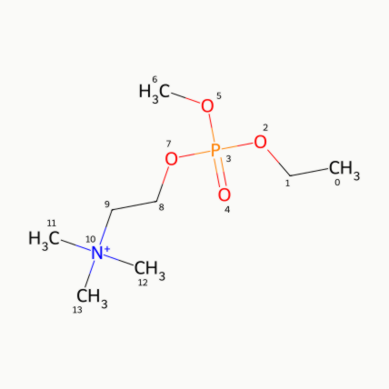 CCOP(=O)(OC)OCC[N+](C)(C)C